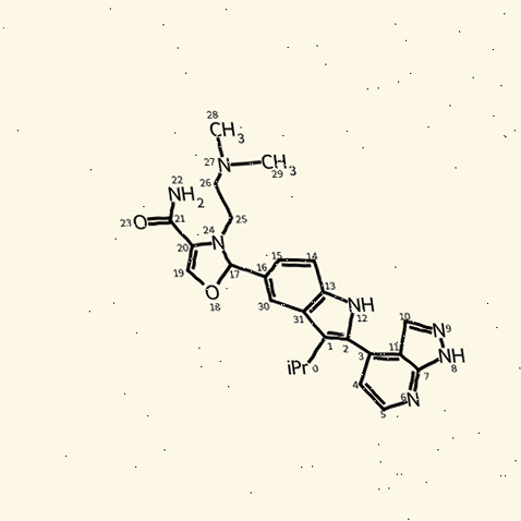 CC(C)c1c(-c2ccnc3[nH]ncc23)[nH]c2ccc(C3OC=C(C(N)=O)N3CCN(C)C)cc12